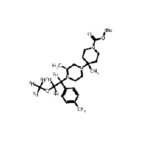 [2H]C([2H])([2H])OC([2H])([2H])[C@@]([2H])(c1ccc(C(F)(F)F)cc1)N1CCN(C2(C)CCN(C(=O)OC(C)(C)C)CC2)C[C@@H]1C